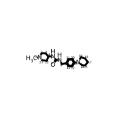 CN1CCC(NC(=O)NCc2ccc(N3CCCCC3)cc2)CC1